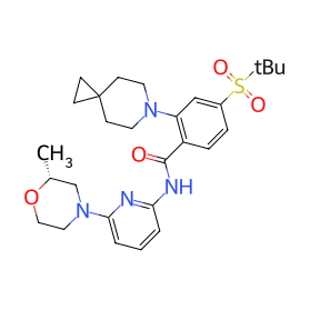 C[C@@H]1CN(c2cccc(NC(=O)c3ccc(S(=O)(=O)C(C)(C)C)cc3N3CCC4(CC3)CC4)n2)CCO1